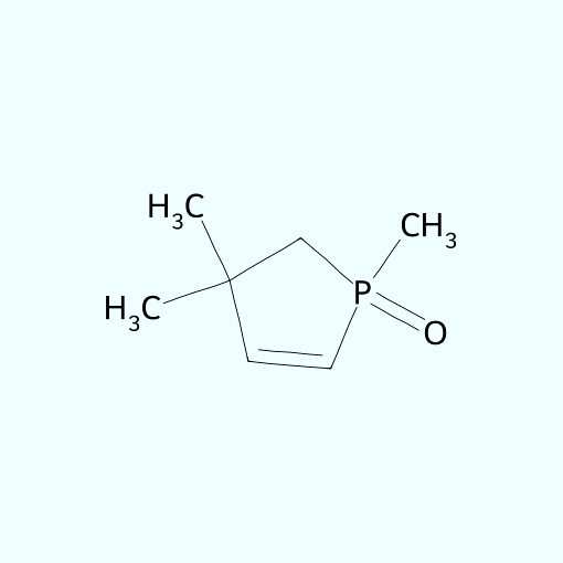 CC1(C)C=CP(C)(=O)C1